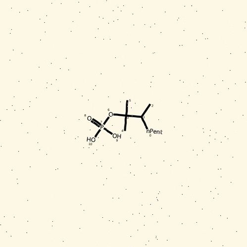 CCCCCC(C)C(C)(C)OP(=O)(O)O